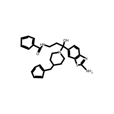 Nc1nc2ccc(C(O)(CCNC(=O)c3ccccc3)N3CCC(Cc4ccccc4)CC3)cc2s1